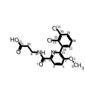 COc1ccc(C(=O)NCCC(=O)O)nc1-c1cccc(Cl)c1Cl